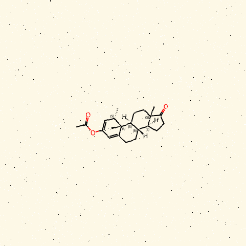 CC(=O)OC1=C[C@H](C)[C@@]2(C)C(=C1)CC[C@@H]1[C@@H]2CC[C@]2(C)C(=O)CC[C@@H]12